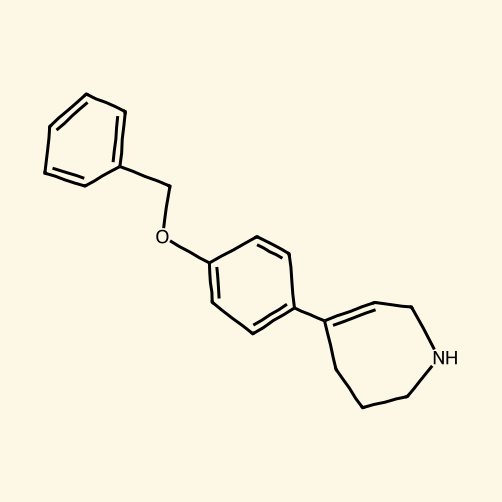 C1=C(c2ccc(OCc3ccccc3)cc2)CCCNC1